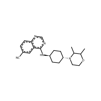 CC1OCCN([C@H]2CC[C@H](Nc3ncnc4ccc(C#N)cc34)CC2)C1C